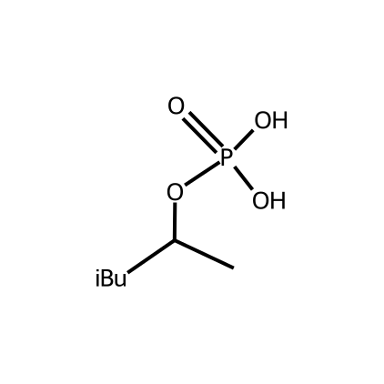 CCC(C)C(C)OP(=O)(O)O